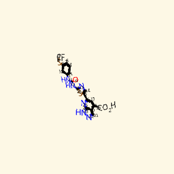 O=C(Nc1cccc(SC(F)(F)F)c1)Nc1ncc(-c2cc(C(=O)O)c3cn[nH]c3n2)s1